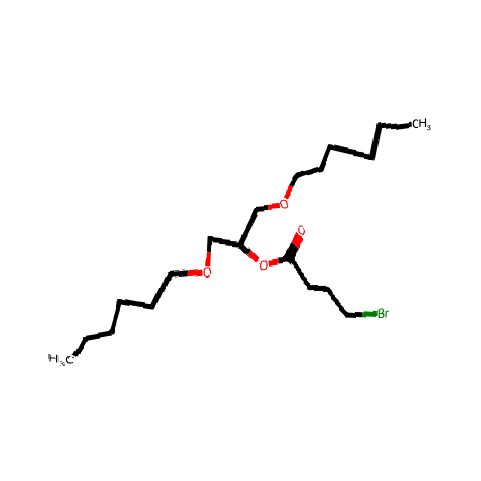 CCCCCCOCC(COCCCCCC)OC(=O)CCCBr